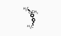 C=CCOC(C)[C@H]1CC[C@H](C2CCC(CCCC)CC2)CC1